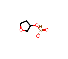 O=[SH](=O)OC1CCOC1